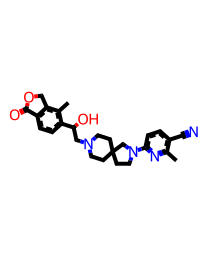 Cc1nc(N2CCC3(CCN(CC(O)c4ccc5c(c4C)COC5=O)CC3)C2)ccc1C#N